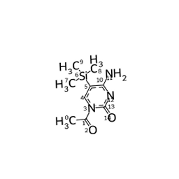 CC(=O)n1cc([Si](C)(C)C)c(N)nc1=O